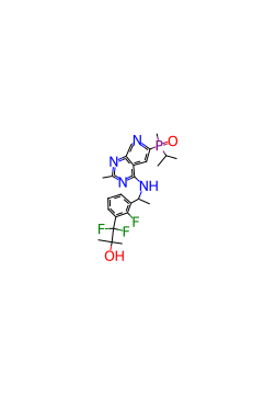 Cc1nc(NC(C)c2cccc(C(F)(F)C(C)(C)O)c2F)c2cc(P(C)(=O)C(C)C)ncc2n1